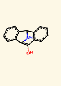 OC1=C2NC(c3ccccc31)c1ccccc12